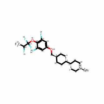 CCC[Si@H]1CC[C@H]([C@H]2CC[C@H](COc3cc(F)c(OC(F)(F)C(F)C(F)(F)F)c(F)c3)CC2)CC1